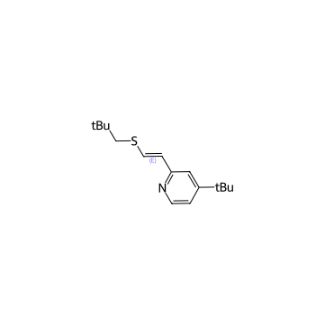 CC(C)(C)CS/C=C/c1cc(C(C)(C)C)ccn1